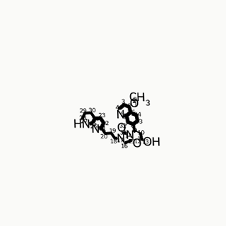 COc1ccnc2cc([C@@H](CC(=O)O)N3CCN(CCCc4ccc5c(n4)NCCC5)C3=O)ccc12